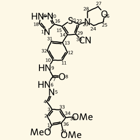 COc1cc(/C=N/NC(=O)Nc2ccc(-c3c(-c4nc[nH]n4)sc(N4CCOCC4)c3C#N)cc2)cc(OC)c1OC